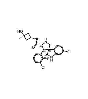 C[C@]1(O)C[C@@H](NC(=O)[C@@H]2NC[C@@]3(C(=O)Nc4cc(Cl)ccc43)[C@H]2c2cccc(Cl)c2F)C1